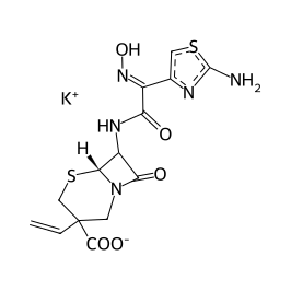 C=CC1(C(=O)[O-])CS[C@@H]2C(NC(=O)C(=NO)c3csc(N)n3)C(=O)N2C1.[K+]